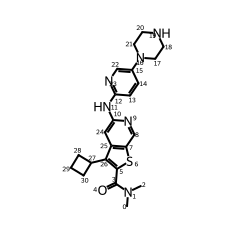 CN(C)C(=O)c1sc2cnc(Nc3ccc(N4CCNCC4)cn3)cc2c1C1CCC1